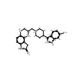 O=C1Cc2c(ccc3c2OC(CN2CCC(c4onc5cc(F)ccc45)CC2)CO3)N1